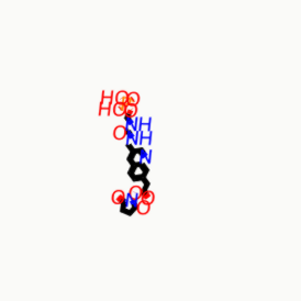 O=C(NCOP(=O)(O)O)NCc1cnc2cc(CC(=O)ON3C(=O)CCC3=O)ccc2c1